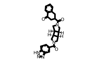 O=C1CC(C(=O)N2C[C@@H]3[C@H]4CN(C(=O)c5ccc6[nH]nnc6c5)C[C@H]4[C@@H]3C2)Cc2ccccc21